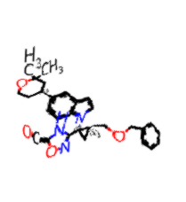 CC1(C)C[C@@H](c2ccc3c(ccn3[C@@]3(C4=NOC(=C=O)N4)C[C@@H]3COCc3ccccc3)c2)CCO1